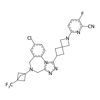 N#Cc1nc(N2CC3(CC(c4nnc5n4-c4ccc(Cl)cc4CN(C46CC(C(F)(F)F)(C4)C6)C5)C3)C2)ccc1F